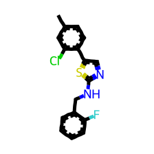 Cc1ccc(-c2cnc(NCc3ccccc3F)s2)c(Cl)c1